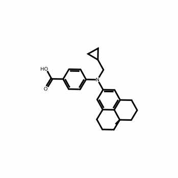 CC12CCCc3cc(N(CC4CC4)c4ccc(C(=O)O)cc4)cc(c31)CCC2